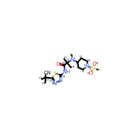 CN(C1CCN(S(C)(=O)=O)CC1)C(C)(C)C(=O)Nc1nnc(C(C)(C)C#N)s1